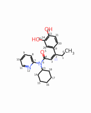 CC/C(=C/C(=O)N(c1ccccn1)C1CCCCC1)c1ccc(O)c(O)c1